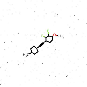 COC1CCC(C#CC2CCC(C)CC2)C(F)C1F